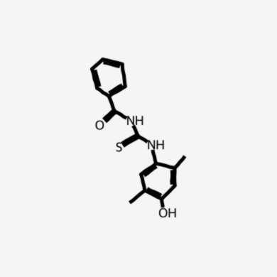 Cc1cc(NC(=S)NC(=O)c2ccccc2)c(C)cc1O